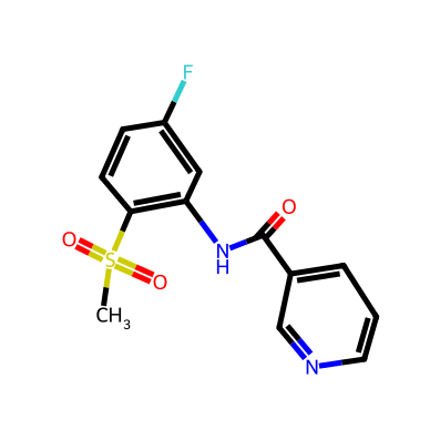 CS(=O)(=O)c1ccc(F)cc1NC(=O)c1cccnc1